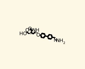 NN=Cc1ccc(-c2ccc(OC[C@@H]3C[C@@H](CC(=O)O)C(=O)N3)cc2)cc1